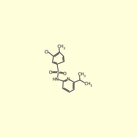 Cc1ccc(S(=O)(=O)Nc2cccc(C(C)C)n2)cc1Cl